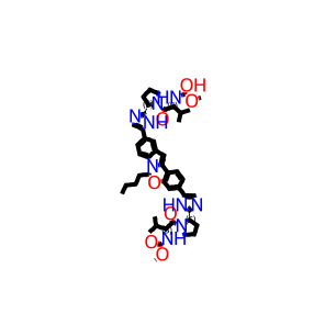 CCCCC1Oc2cc(-c3cnc([C@@H]4CCCN4C(=O)[C@@H](NC(=O)OC)C(C)C)[nH]3)ccc2-c2cc3cc(-c4cnc([C@@H]5CCCN5C(=O)[C@@H](NC(O)OC)C(C)C)[nH]4)ccc3n21